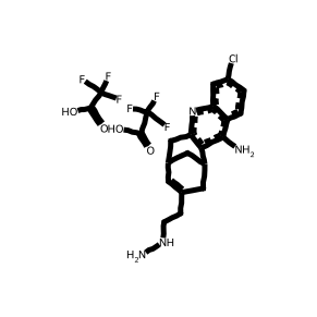 NNCCC1=CC2Cc3nc4cc(Cl)ccc4c(N)c3C(C1)C2.O=C(O)C(F)(F)F.O=C(O)C(F)(F)F